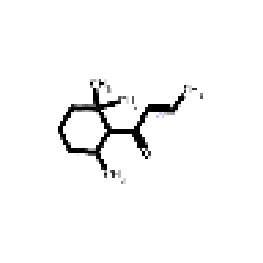 C/C=C/C(=O)C1C(C)CCCC1(C)C